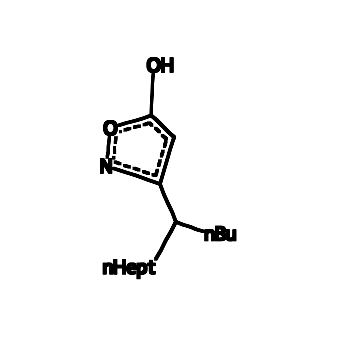 CCCCCCCC(CCCC)c1cc(O)on1